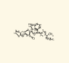 CC(=O)N[C@@H](C)[C@@H]1CC[C@@H](Nc2ncnc3[nH]cc(C(=O)c4ccc(Oc5ccccc5)cc4Cl)c23)CO1